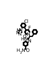 NC(=O)c1ccc2[nH]c(C(Cc3ccccc3)n3cc(F)c(-c4cc(Cl)ccc4-n4cnnn4)cc3=O)nc2c1